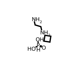 C1CCC1.NCCN.O=[PH](O)O